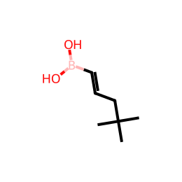 CC(C)(C)C/C=C/B(O)O